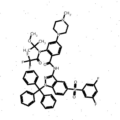 COC(C)(C)N(C(=O)C(F)(F)F)c1cc(N2CCN(C)CC2)ccc1C(=O)Nc1nn(C(c2ccccc2)(c2ccccc2)c2ccccc2)c2ccc(S(=O)(=O)c3cc(F)cc(F)c3)cc12